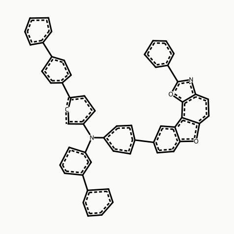 c1ccc(-c2ccc(-c3ccc(N(c4ccc(-c5ccc6oc7ccc8nc(-c9ccccc9)oc8c7c6c5)cc4)c4cccc(-c5ccccc5)c4)cc3)cc2)cc1